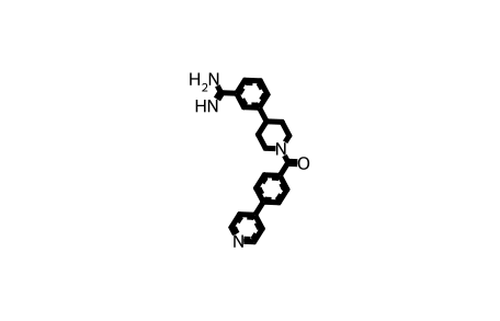 N=C(N)c1cccc(C2CCN(C(=O)c3ccc(-c4ccncc4)cc3)CC2)c1